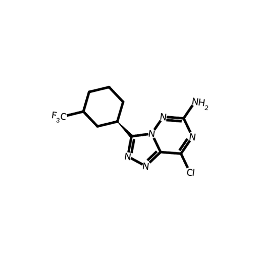 Nc1nc(Cl)c2nnc([C@@H]3CCCC(C(F)(F)F)C3)n2n1